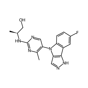 Cc1nc(N[C@@H](C)CO)ncc1-n1c2ccc(F)cc2c2[nH]ncc21